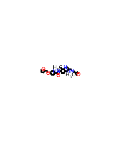 Cc1c(NC(=O)c2ccc(OCC3CCCO3)cc2)ccc2cc(CNCC3(C)COC3)cnc12